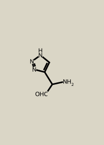 NC(C=O)c1c[nH]nn1